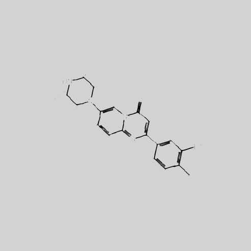 Cc1ccc(-c2cc(=O)n3cc(N4CCN[C@@H](C)C4)ccc3n2)cc1F